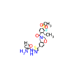 CCc1c(C(=O)N2CCOc3ccc(-c4cnc(NC(=O)[C@@H](C)N)s4)cc3C2)ccc(S(C)(=O)=O)c1F